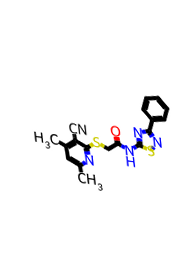 Cc1cc(C)c(C#N)c(SCC(=O)Nc2nc(-c3ccccc3)ns2)n1